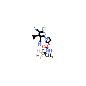 CC(C)(C)NC(=O)O[C@H]1CCN(c2nc(Cl)c(C#N)c(C3CC3)c2C#N)C1